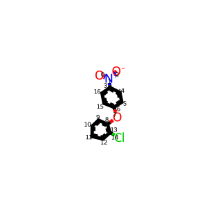 O=[N+]([O-])c1[c]cc(Oc2ccccc2Cl)cc1